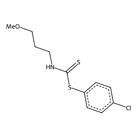 COCCCNC(=S)Sc1ccc(Cl)cc1